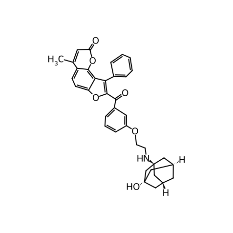 Cc1cc(=O)oc2c1ccc1oc(C(=O)c3cccc(OCCN[C@@]45C[C@@H]6C[C@@H](C[C@@](O)(C6)C4)C5)c3)c(-c3ccccc3)c12